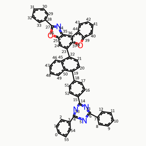 c1ccc(-c2nc(-c3ccccc3)nc(-c3ccc(-c4ccc(-c5cc6oc(-c7ccccc7)nc6c6c5oc5ccccc56)c5ccccc45)cc3)n2)cc1